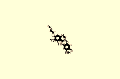 COc1cc2c(Nc3cc(O)c(C)cc3F)ncnc2cc1OCCSC